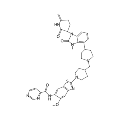 C=C1CCC(n2c(=O)n(C)c3c(C4CCN(CC5CCN(c6nc7cc(OC)c(NC(=O)c8ccncn8)cc7s6)CC5)CC4)cccc32)C(=O)N1